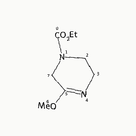 CCOC(=O)N1CCN=C(OC)C1